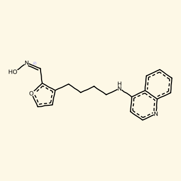 O/N=C\c1occc1CCCCNc1ccnc2ccccc12